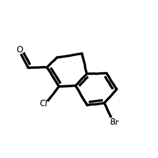 O=CC1=C(Cl)c2cc(Br)ccc2CC1